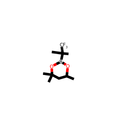 CC1CC(C)(C)OB(C(C)(C)C(F)(F)F)O1